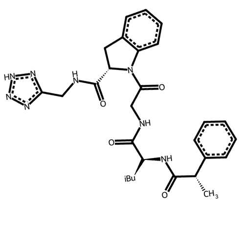 CC[C@H](C)[C@H](NC(=O)[C@@H](C)c1ccccc1)C(=O)NCC(=O)N1c2ccccc2C[C@H]1C(=O)NCc1nn[nH]n1